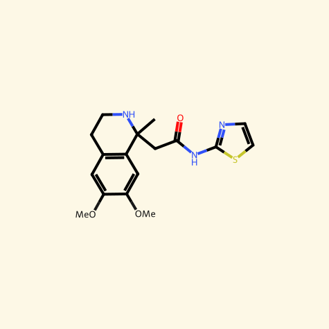 COc1cc2c(cc1OC)C(C)(CC(=O)Nc1nccs1)NCC2